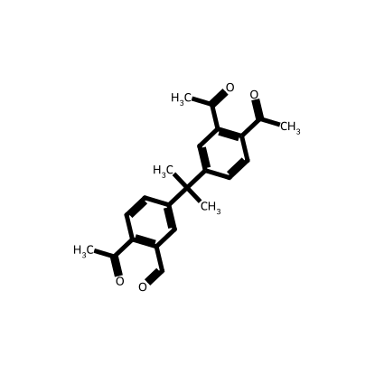 CC(=O)c1ccc(C(C)(C)c2ccc(C(C)=O)c(C(C)=O)c2)cc1C=O